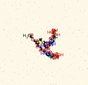 CCC(CSC1CCC1SCC(CC(=O)CCOCCC(C)=O)C(=O)NCCC(=O)OCC(=O)Nc1ccn([C@@H]2O[C@H](COP(=O)(O)O)[C@@H](O)C2(F)F)c(=O)n1)C(=O)NCCC(=O)OCC(=O)Nc1ccn([C@@H]2O[C@H](COP(=O)(O)O)[C@@H](O)C2(F)F)c(=O)n1